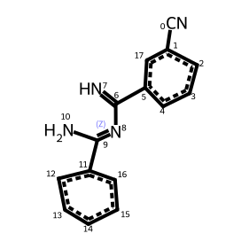 N#Cc1cccc(C(=N)/N=C(\N)c2ccccc2)c1